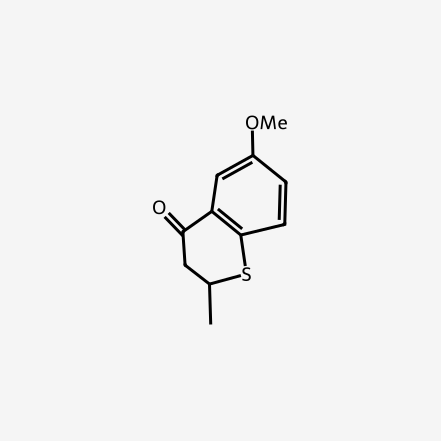 COc1ccc2c(c1)C(=O)CC(C)S2